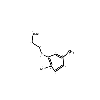 COCCOc1cc(C)ccc1C#N